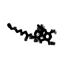 C#CCOCCOCC(=O)NO[C@]1(O)C=C[C@H]2[C@H]3Cc4c(N)cc(OC)c5c4[C@@]2(CCN3C)[C@H]1O5